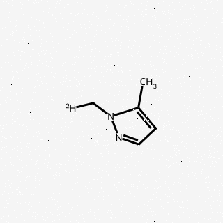 [2H]Cn1nccc1C